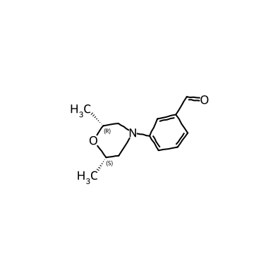 C[C@@H]1CN(c2cccc(C=O)c2)C[C@H](C)O1